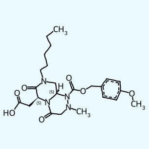 CCCCCCN1C[C@H]2N(C(=O)CN(C)N2C(=O)OCc2ccc(OC)cc2)[C@@H](CC(=O)O)C1=O